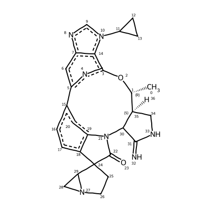 C[C@H]1Oc2nc(cc3ncn(C4CC4)c23)-c2ccc3c(c2)N(C(=O)C32CCN3CC32)C2C(=N)NC[C@@H]21